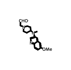 COc1ccc2ncc(N(C)C3CCN(C[C]=O)CC3)cc2c1